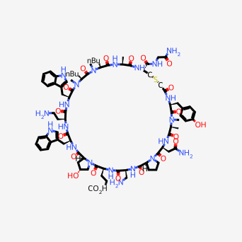 CCCC[C@H]1C(=O)N(C)[C@@H](CCCC)C(=O)N[C@@H](C)C(=O)N[C@H](C(=O)NCC(N)=O)CSCC(=O)N[C@@H](Cc2ccc(O)cc2)C(=O)N(C)[C@@H](C)C(=O)N[C@@H](CC(N)=O)C(=O)N2CCC[C@H]2C(=O)N[C@@H](CN)C(=O)N[C@@H](CCC(=O)O)C(=O)N2C[C@H](O)C[C@H]2C(=O)N[C@@H](Cc2c[nH]c3ccccc23)C(=O)N[C@@H](CCN)C(=O)N[C@@H](Cc2c[nH]c3ccccc23)C(=O)N1C